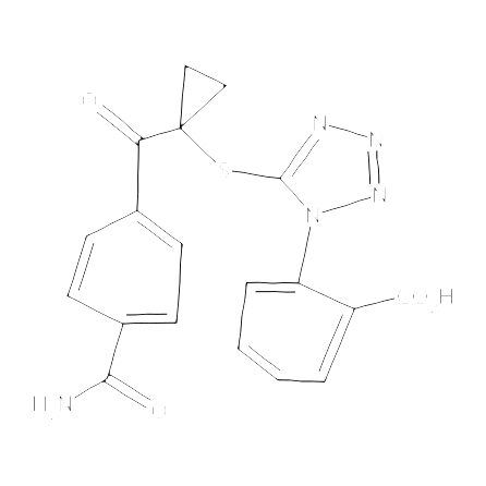 NC(=O)c1ccc(C(=O)C2(Sc3nnnn3-c3ccccc3C(=O)O)CC2)cc1